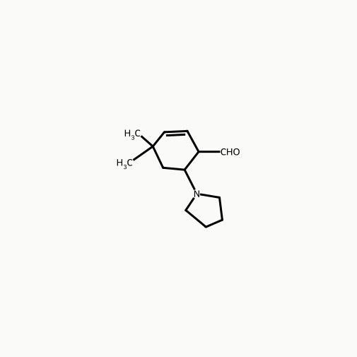 CC1(C)C=CC(C=O)C(N2CCCC2)C1